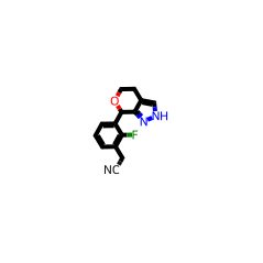 N#CCc1cccc(C2OCCc3c[nH]nc32)c1F